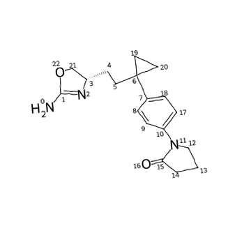 NC1=N[C@@H](CCC2(c3ccc(N4CCCC4=O)cc3)CC2)CO1